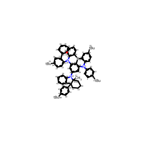 CC(C)(C)c1ccc(N2c3ccc(C(C)(C)C)cc3B3c4ccccc4N(c4ccc(C(C)(C)C)cc4-c4ccccc4)c4cc(N5c6ccccc6C6(c7ccc(C(C)(C)C)cc7)CCCCC56C)cc2c43)cc1